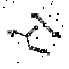 C=C=N.C=CC(N)=O